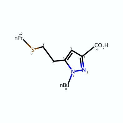 CCCCn1nc(C(=O)O)cc1CCSCCC